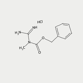 CN(C(=N)N)C(=O)OCc1ccccc1.Cl